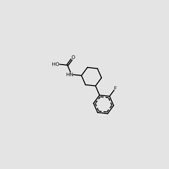 O=C(O)NC1CCCC(c2ccccc2F)C1